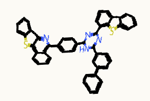 c1ccc(-c2cccc(C3=NC(c4cccc5c4sc4ccccc45)=NC(c4ccc(-c5nc6c7ccccc7sc6c6ccccc56)cc4)N3)c2)cc1